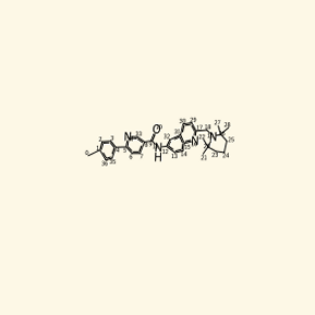 Cc1ccc(-c2ccc(C(=O)Nc3ccc4nc(CN5C(C)(C)CCCC5(C)C)ccc4c3)cn2)cc1